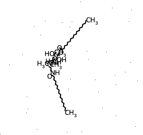 CCCCCCCCCCCCCCCCCC(=O)NCCC[N+](C)(C)CC(O)C[N+](CCOC(=O)CCCCCCCCCCCCCCCCC)(C(C)O)C(C)O